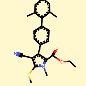 CCOC(=O)c1c(-c2ccc(-c3c(C)cccc3C)cc2)c(C#N)c(SC)n1C